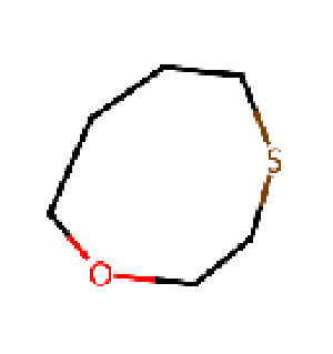 C1CCSCCOC1